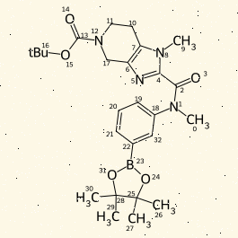 CN(C(=O)c1nc2c(n1C)CCN(C(=O)OC(C)(C)C)C2)c1cccc(B2OC(C)(C)C(C)(C)O2)c1